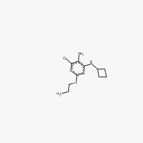 CCCSc1nc(Cl)c(N)c(NC2CCC2)n1